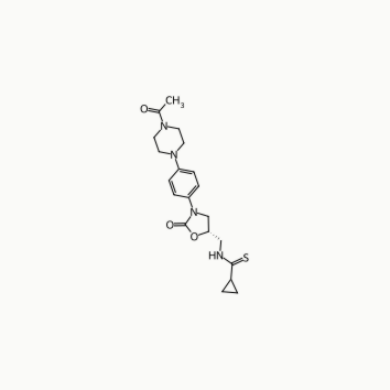 CC(=O)N1CCN(c2ccc(N3C[C@H](CNC(=S)C4CC4)OC3=O)cc2)CC1